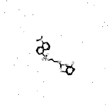 CN(C)c1cccc2c(S(=O)(=O)NCCNC(=O)Nc3c(Cl)cccc3Cl)cccc12